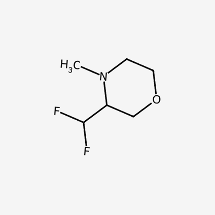 CN1CCOCC1C(F)F